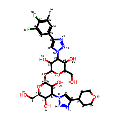 OCC1OC(S[C@@H]2O[C@H](CO)C(O)C(n3cc(C4CCOCC4)nn3)C2O)C(O)C(n2cc(-c3cc(F)c(F)c(F)c3)nn2)C1O